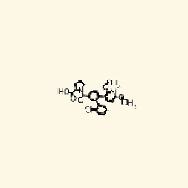 COc1ccc(-c2ccc(C(=O)N3CCCC3C(=O)O)cc2-c2ccccc2Cl)c(OC)n1